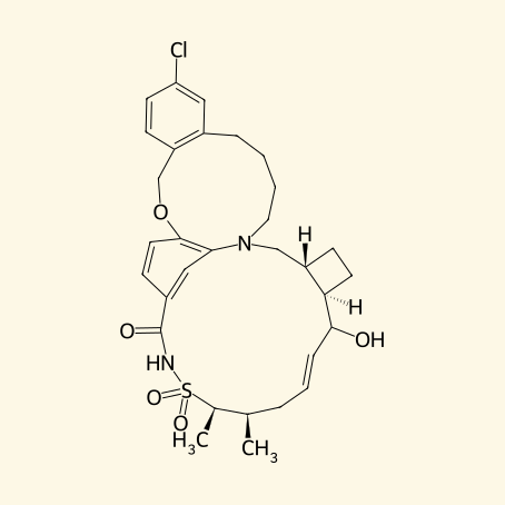 C[C@@H]1C/C=C/C(O)[C@@H]2CC[C@H]2CN2CCCCc3cc(Cl)ccc3COc3ccc(cc32)C(=O)NS(=O)(=O)[C@@H]1C